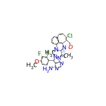 COc1ccc(-c2nn([C@@H](C)/C(=N/C3=CCC=CC(Cl)=C3C=O)N(C)c3ccccc3)c3ncnc(N)c23)c(F)c1F